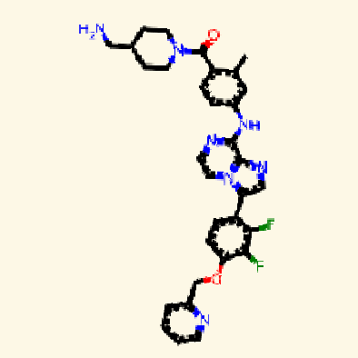 Cc1cc(Nc2nccn3c(-c4ccc(OCc5ccccn5)c(F)c4F)cnc23)ccc1C(=O)N1CCC(CN)CC1